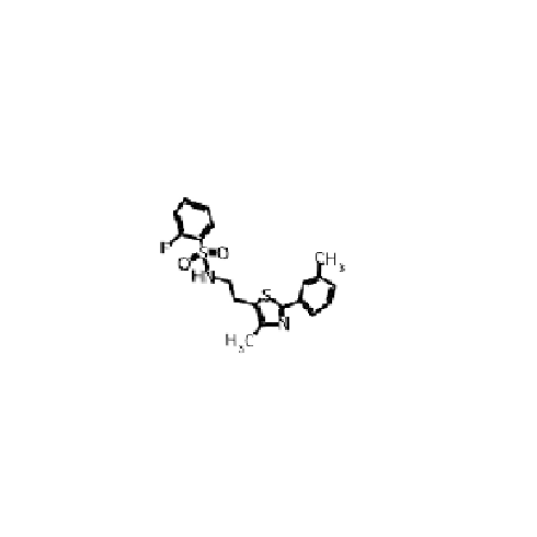 Cc1cccc(-c2nc(C)c(CCNS(=O)(=O)c3ccccc3F)s2)c1